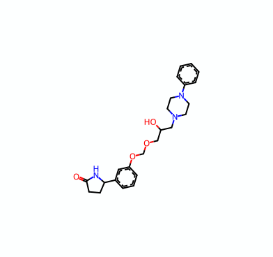 O=C1CCC(c2cccc(OCOCC(O)CN3CCN(c4ccccc4)CC3)c2)N1